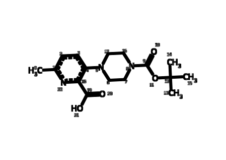 Cc1ccc(N2CCN(C(=O)OC(C)(C)C)CC2)c(C(=O)O)n1